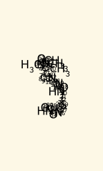 CC(C)c1cc(-c2cccc3cc(-c4ccc(C(=O)NCC#Cc5cc6c(C7CCC(=O)NC7=O)nccc6s5)nc4)ncc23)cc2c1n(C)c(=O)n2C